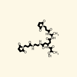 CCOC(C)C(=O)NC(CC(=O)NCCNC(=O)CCN1C(=O)C=CC1=O)CC(=O)NC(C)NC(=O)CCN1C(=O)C=CC1=O